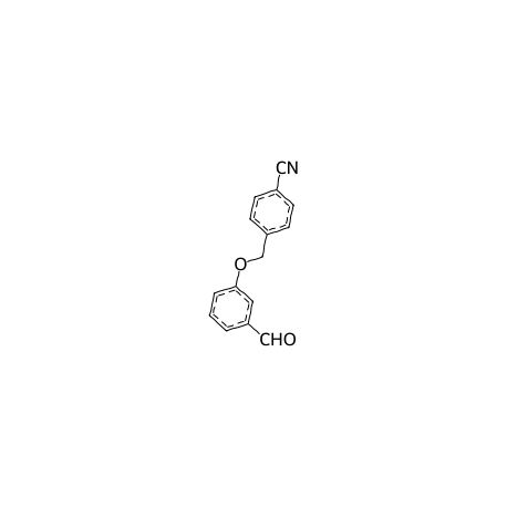 N#Cc1ccc(COc2cccc(C=O)c2)cc1